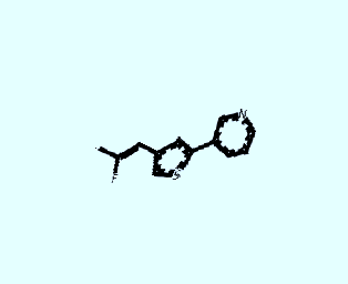 [CH2]/C(F)=C/c1csc(-c2cccnc2)c1